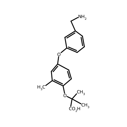 Cc1cc(Oc2cccc(CN)c2)ccc1OC(C)(C)C(=O)O